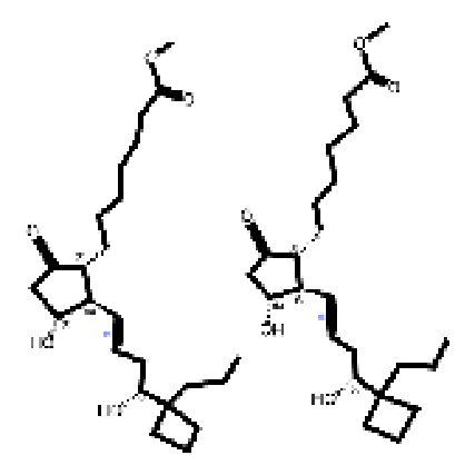 CCCC1([C@H](O)C/C=C/[C@H]2[C@H](O)CC(=O)[C@@H]2CCCCCCC(=O)OC)CCC1.CCCC1([C@H](O)C/C=C/[C@H]2[C@H](O)CC(=O)[C@@H]2CCCCCCC(=O)OC)CCC1